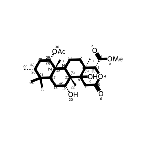 COC(=O)[C@@H]1OC(=O)CC2(O)[C@@]1(C)CCC1[C@]3(C)C(C[C@@H](O)[C@]12C)C(C)(C)[C@H](C)C[C@@H]3OC(C)=O